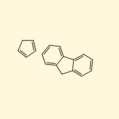 C1=CCC=C1.c1ccc2c(c1)Cc1ccccc1-2